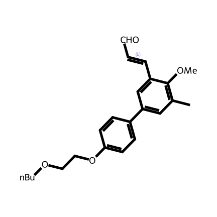 CCCCOCCOc1ccc(-c2cc(C)c(OC)c(/C=C/C=O)c2)cc1